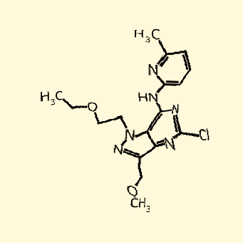 CCOCCn1nc(COC)c2nc(Cl)nc(Nc3cccc(C)n3)c21